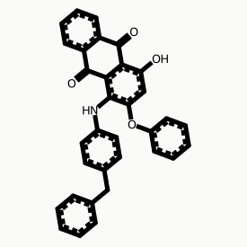 O=C1c2ccccc2C(=O)c2c(Nc3ccc(Cc4ccccc4)cc3)c(Oc3ccccc3)cc(O)c21